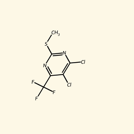 CSc1nc(Cl)c(Cl)c(C(F)(F)F)n1